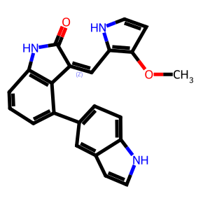 COc1cc[nH]c1/C=C1\C(=O)Nc2cccc(-c3ccc4[nH]ccc4c3)c21